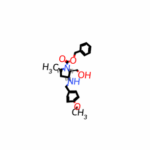 COc1ccc(CN[C@H]2C[C@@H](C)N(C(=O)OCc3ccccc3)[C@H]2CO)cc1